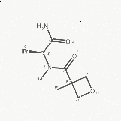 CC(C)[C@@H](C(N)=O)N(C)C(=O)C1(C)COC1